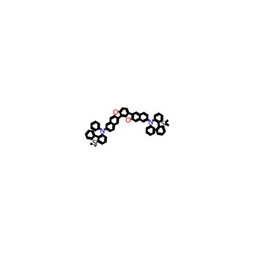 C[Si]1(C)c2ccccc2-c2c(N(c3ccccc3)c3ccc4cc5c(cc4c3)oc3c5ccc4oc5cc6cc(N(c7ccccc7)c7cccc8c7-c7ccccc7[Si]8(C)C)ccc6cc5c43)cccc21